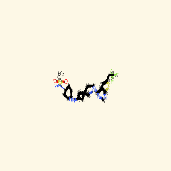 CS(=O)(=O)N[C@H]1CC[C@H](NC2CC3(CCN(c4ncnc5sc(CC(F)(F)F)cc45)C3)C2)CC1